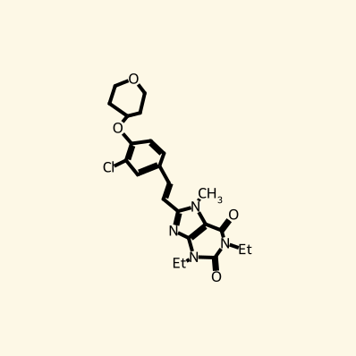 CCn1c(=O)c2c(nc(C=Cc3ccc(OC4CCOCC4)c(Cl)c3)n2C)n(CC)c1=O